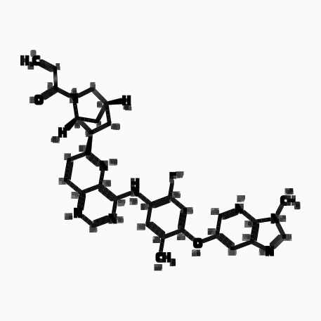 C=CC(=O)N1C[C@H]2C[C@@H]1[C@H](c1ccc3ncnc(Nc4cc(C)c(Oc5cnc6c(c5)ncn6C)cc4F)c3n1)C2